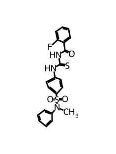 CN(c1ccccc1)S(=O)(=O)c1ccc(NC(=S)NC(=O)c2ccccc2F)cc1